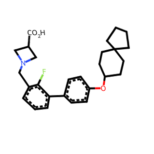 O=C(O)C1CN(Cc2cccc(-c3ccc(OC4CCC5(CCCC5)CC4)cc3)c2F)C1